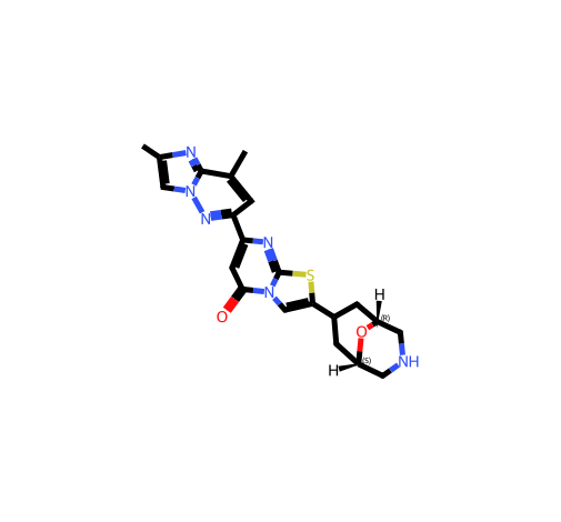 Cc1cn2nc(-c3cc(=O)n4cc(C5C[C@H]6CNC[C@@H](C5)O6)sc4n3)cc(C)c2n1